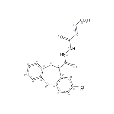 O=C(O)/C=C/C(=O)NNC(=O)N1Cc2ccccc2Oc2ccc(Cl)cc21